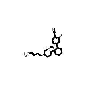 C/C=C/CC[C@H]1CC[C@H]([C@]2(C(=O)O)CCCCC2c2ccc(C#N)c(F)c2)CC1